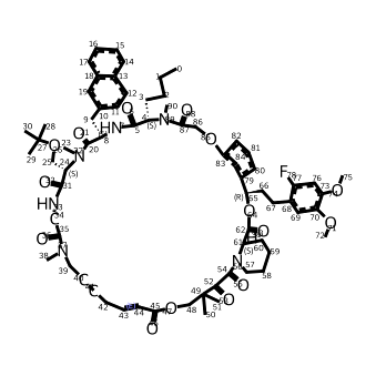 CCCC[C@H]1C(=O)N[C@@H](Cc2ccc3ccccc3c2)C(=O)N(C)[C@@H](COC(C)(C)C)C(=O)NCC(=O)N(C)CCCC/C=C/C(=O)OCC(C)(C)C(=O)C(=O)N2CCCC[C@H]2C(=O)O[C@H](CCc2cc(OC)c(OC)cc2F)c2cccc(c2)OCC(=O)N1C